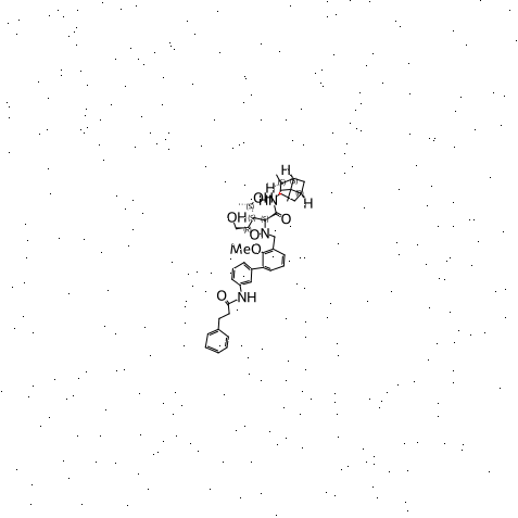 COc1c(CN2O[C@@H](CO)[C@H]([C@H](C)O)[C@H]2C(=O)NC2C[C@H]3C[C@@H]([C@@H]2C)C3(C)C)cccc1-c1cccc(NC(=O)CCc2ccccc2)c1